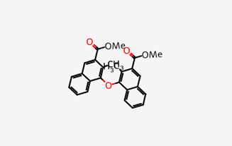 COC(=O)c1cc2ccccc2c(Oc2c(C)c(C(=O)OC)cc3ccccc23)c1C